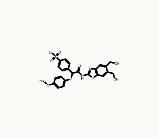 CCCOc1ccc(OC(C(=O)Nc2nc3cc(CO)c(CO)cc3s2)c2ccc(S(=O)(=O)CC)cc2)cc1